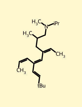 C\C=C/C(/C=C/C(C)(C)C)=C\C(=C/C)CC(C)CN(C)C(C)C